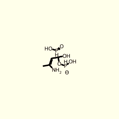 CC(N)=CC(O)(O[PH](=O)O)[PH](=O)O